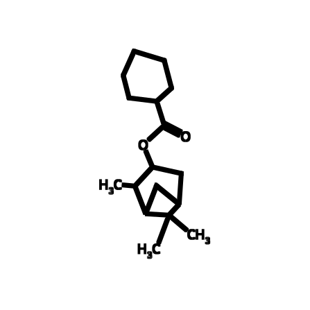 CC1C(OC(=O)C2CCCCC2)CC2CC1C2(C)C